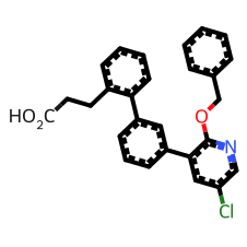 O=C(O)CCc1ccccc1-c1cccc(-c2cc(Cl)cnc2OCc2ccccc2)c1